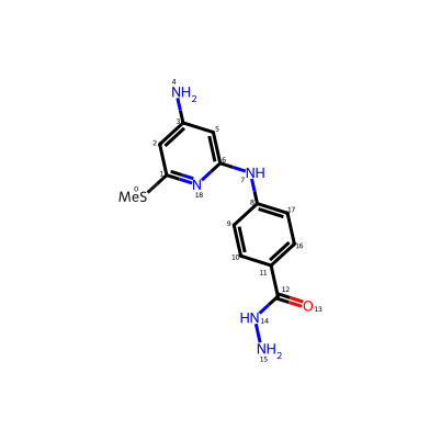 CSc1cc(N)cc(Nc2ccc(C(=O)NN)cc2)n1